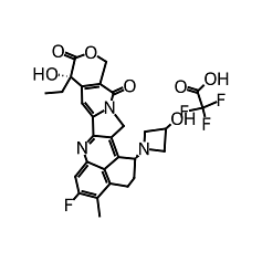 CC[C@@]1(O)C(=O)OCc2c1cc1n(c2=O)Cc2c-1nc1cc(F)c(C)c3c1c2[C@@H](N1CC(O)C1)CC3.O=C(O)C(F)(F)F